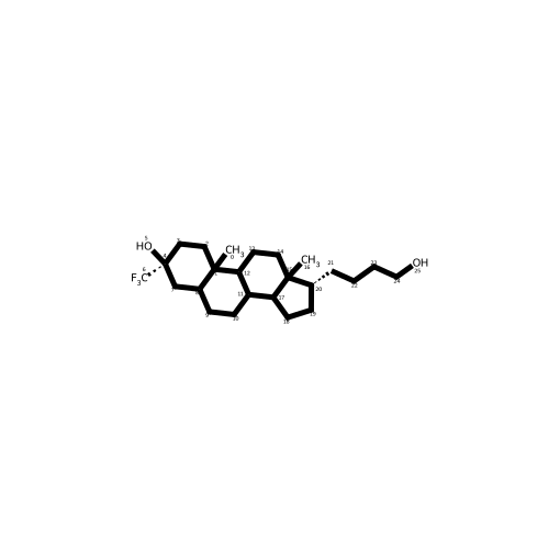 CC12CC[C@@](O)(C(F)(F)F)CC1CCC1C2CCC2(C)C1CC[C@H]2CCCCO